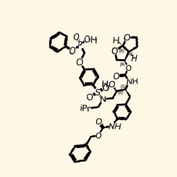 CC(C)CN(C[C@@H](O)[C@H](Cc1ccc(NC(=O)OCc2ccccc2)cc1)NC(=O)O[C@H]1CO[C@H]2OCC[C@H]21)S(=O)(=O)c1ccc(OCP(=O)(O)Oc2ccccc2)cc1